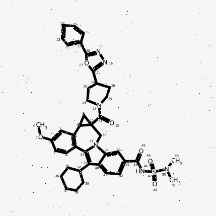 COc1ccc2c(c1)C1CC1(C(=O)N1CCC(c3nnc(-c4ccccc4)o3)CC1)Cn1c-2c(C2CCCCC2)c2ccc(C(=O)NS(=O)(=O)N(C)C)cc21